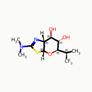 C[C@H]([C@H]1O[C@@H]2SC(N(C)C)=N[C@@H]2[C@@H](O)[C@@H]1O)C(F)(F)F